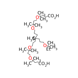 CCC(C)(C)OCCC[Si](C)(CCCOC(C)(C)CCOC(C)(C)CCC(=O)O)CCCOC(C)(C)CCOC(C)(C)CCC(=O)O